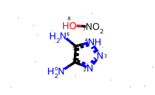 Nc1nn[nH]c1N.O=[N+]([O-])O